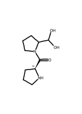 O=C([C@@H]1CCCN1)N1CCCC1C(O)O